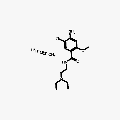 CCN(CC)CCNC(=O)c1cc(Cl)c(N)cc1OC.O.[Cl-].[Cl-].[H+].[H+]